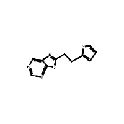 c1csc(CCc2nc3cncnc3s2)c1